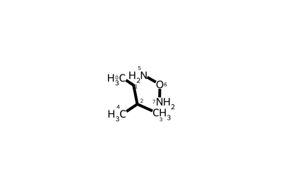 CCC(C)C.NON